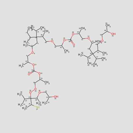 CCC(C)C(CC(C)OCC(C)OC(=O)OC(C)COOC(C(C)C)(C(C)S)C(C)OCC(C)O)(C(C)C)C(C)COCC(C)OC(=O)OC(C)COC(C)CC(C(C)C)(C(C)C)C(C)COCC(C)O